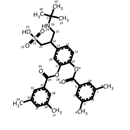 Cc1cc(C)cc(C(=O)Oc2ccc(C(CNC(C)(C)C)CS(=O)(=O)O)cc2OC(=O)c2cc(C)cc(C)c2)c1